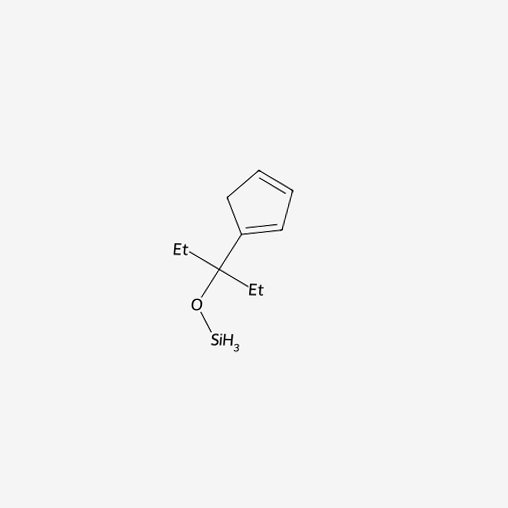 CCC(CC)(O[SiH3])C1=CC=CC1